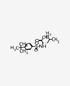 CC(C)C[C@H](NS(=O)(=O)c1ccc(C(C)(C)C)cc1)C(=O)O